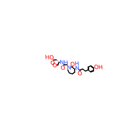 O=C[C@H](CC(=O)O)NC(=O)CN1CCCC[C@H](NC(=O)CCc2ccc(O)cc2)C1=O